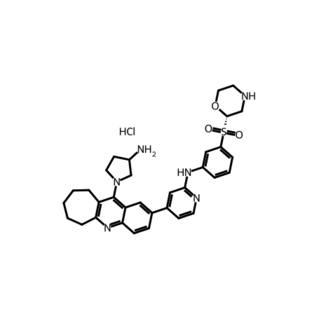 Cl.NC1CCN(c2c3c(nc4ccc(-c5ccnc(Nc6cccc(S(=O)(=O)[C@H]7CNCCO7)c6)c5)cc24)CCCCC3)C1